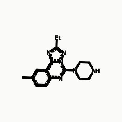 CCc1nc2c3cc(C)ccc3nc(N3CCNCC3)n2n1